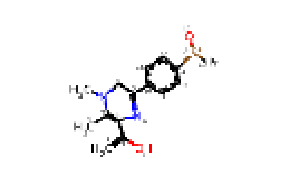 C=C(O)C1=C(C)N(C)CC(c2ccc([S+]([O-])C(C)C)cc2)=N1